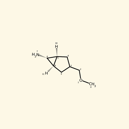 COCC1C[C@@H]2[C@@H](N)[C@@H]2C1